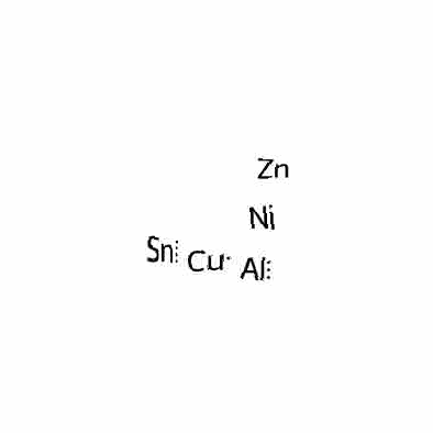 [Al].[Cu].[Ni].[Sn].[Zn]